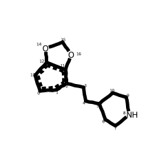 c1cc(CCC2CCNCC2)c2c(c1)OCO2